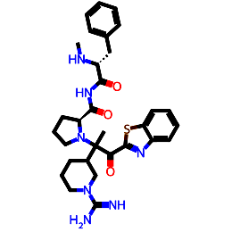 CN[C@H](Cc1ccccc1)C(=O)NC(=O)[C@@H]1CCCN1C(C)(C(=O)c1nc2ccccc2s1)C1CCCN(C(=N)N)C1